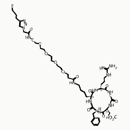 N=C(N)NCCC[C@@H]1NC(=O)[C@H](CCCCNC(=O)CCOCCOCCOCCOCCNC(=O)Cn2cc(CCCF)nn2)NC(=O)N(Cc2ccccc2)NC(=O)[C@H](CC(=O)O)NC(=O)CNC1=O